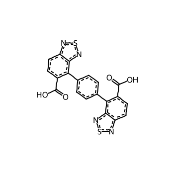 O=C(O)c1ccc2nsnc2c1-c1ccc(-c2c(C(=O)O)ccc3nsnc23)cc1